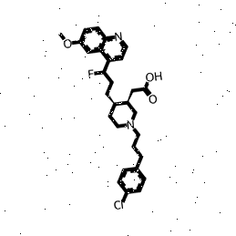 COc1ccc2nccc(C(F)CC[C@@H]3CCN(CCCc4ccc(Cl)cc4)C[C@@H]3CC(=O)O)c2c1